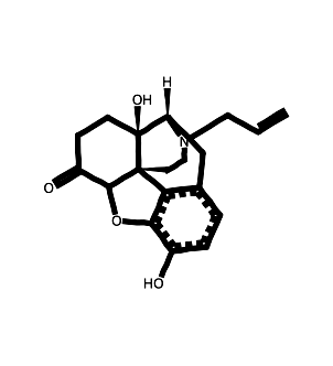 C=CCN1CC[C@@]23c4c5ccc(O)c4OC2C(=O)CC[C@]3(O)[C@@H]1C5